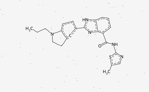 CCCN1CCc2cc(-c3nc4c(C(=O)Nc5ncc(C)s5)cccc4[nH]3)ccc21